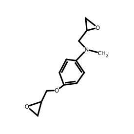 [CH2]N(CC1CO1)c1ccc(OCC2CO2)cc1